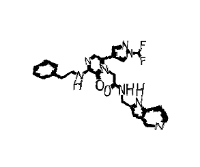 O=C(Cn1c(-c2cnn(C(F)F)c2)cnc(NCCc2ccccc2)c1=O)NCc1cc2cnccc2[nH]1